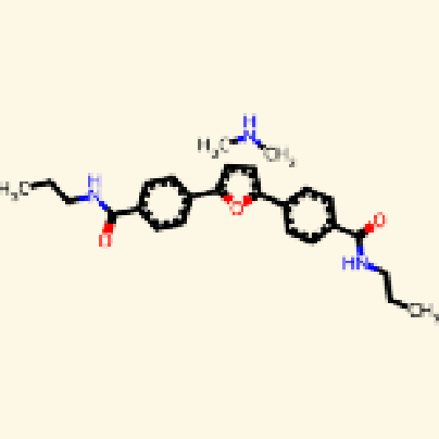 CCCNC(=O)c1ccc(-c2ccc(-c3ccc(C(=O)NCCC)cc3)o2)cc1.CNC